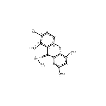 CC(C)N.COc1cc(OC)nc(C(=O)c2c(Cl)ccc(Cl)c2C(=O)O)n1